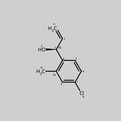 C=C[C@H](O)c1ccc(Cl)cc1C